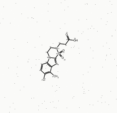 Cc1c(Cl)ccc2c1nc1n2CCN(CCC(=O)O)S1(=O)=O